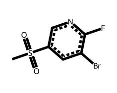 CS(=O)(=O)c1cnc(F)c(Br)c1